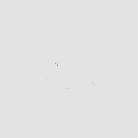 CC1NCCN(C(=O)OC(C)(C)C)[C@@H]1c1nc2cc(Cl)cc(-c3ccoc3)c2o1